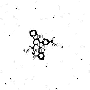 COC(=O)c1ccc(C2c3[nH]c4ccccc4c3CC(C(=O)OC)N2C(=O)Nc2c(F)cccc2[N+](=O)[O-])cc1